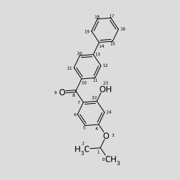 CC(C)Oc1ccc(C(=O)c2ccc(-c3ccccc3)cc2)c(O)c1